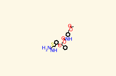 CC(=O)OCc1ccc(NC(=O)OCC(Oc2cccc3sc(C(=N)N)cc23)c2ccccc2)cc1